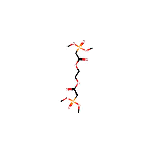 COP(=O)(CC(=O)OCCOC(=O)CP(=O)(OC)OC)OC